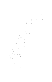 CC1=C2C[C@H]3[C@@H](CC[C@@H]4C[C@@H](NC(=O)Nc5ccccc5)CC[C@@]43C)[C@@H]2CC[C@@]2(C1)O[C@@H]1C[C@H](C)CN[C@@]1(C)[C@H]2C